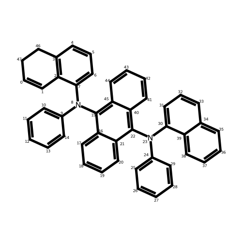 C1=Cc2c(cccc2N(c2ccccc2)c2c3ccccc3c(N(c3ccccc3)c3cccc4ccccc34)c3ccccc23)CC1